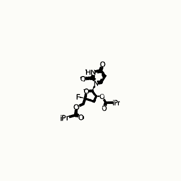 CC(C)C(=O)OC[C@]1(F)C[C@@H](OC(=O)C(C)C)[C@H](n2ccc(=O)[nH]c2=O)O1